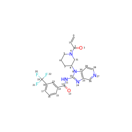 C=CC(=O)N1CCCC(n2c(NC(=O)c3cccc(C(F)(F)F)c3)nc3cnccc32)C1